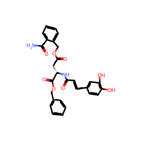 NC(=O)c1ccccc1COC(=O)C[C@H](NC(=O)C=Cc1ccc(O)c(O)c1)C(=O)OCc1ccccc1